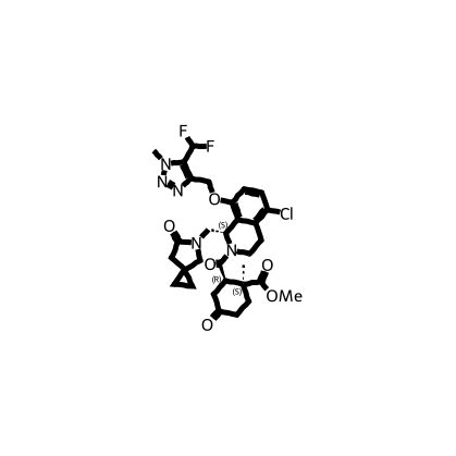 COC(=O)[C@@]1(C)CCC(=O)C[C@H]1C(=O)N1CCc2c(Cl)ccc(OCc3nnn(C)c3C(F)F)c2[C@H]1CN1CC2(CC2)CC1=O